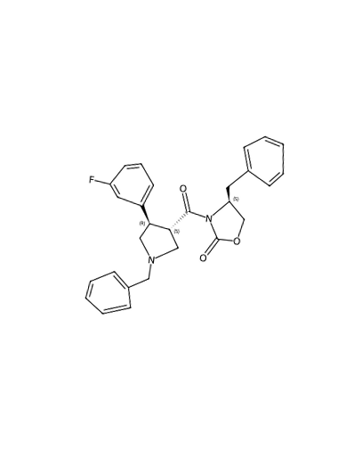 O=C1OC[C@H](Cc2ccccc2)N1C(=O)[C@@H]1CN(Cc2ccccc2)C[C@H]1c1cccc(F)c1